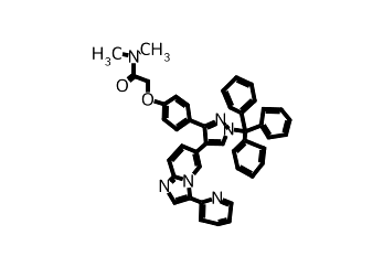 CN(C)C(=O)COc1ccc(-c2nn(C(c3ccccc3)(c3ccccc3)c3ccccc3)cc2-c2ccc3ncc(-c4ccccn4)n3c2)cc1